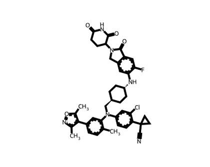 Cc1ccc(-c2c(C)noc2C)cc1N(C[C@H]1CC[C@H](Nc2cc3c(cc2F)C(=O)N(C2CCC(=O)NC2=O)C3)CC1)c1ccc(C2(C#N)CC2)c(Cl)c1